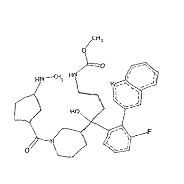 CNC1CCC(C(=O)N2CCCC(C(O)(CCCNC(=O)OC)c3cccc(F)c3-c3cnc4ccccc4c3)C2)C1